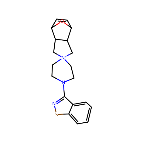 C1=CC2OC1C1C[N+]3(CCN(c4nsc5ccccc45)CC3)CC21